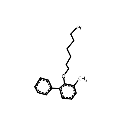 Cc1cccc(-c2ccccc2)c1OCCCCCCC(C)C